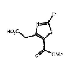 CCc1nc(CC(=O)O)c(C(=O)OC)s1